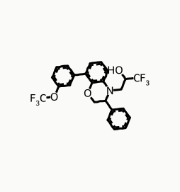 OC(CN1c2cccc(-c3cccc(OC(F)(F)F)c3)c2OCC1c1ccccc1)C(F)(F)F